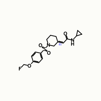 O=C(/C=C1\CCCN(S(=O)(=O)c2ccc(OCF)cc2)C1)NC1CC1